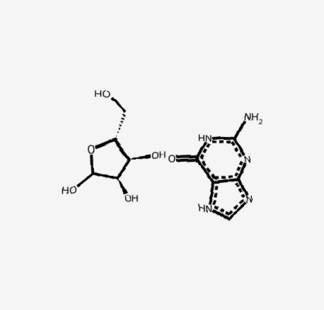 Nc1nc2nc[nH]c2c(=O)[nH]1.OC[C@H]1OC(O)[C@H](O)[C@@H]1O